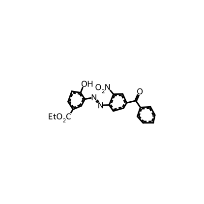 CCOC(=O)c1ccc(O)c(N=Nc2ccc(C(=O)c3ccccc3)cc2[N+](=O)[O-])c1